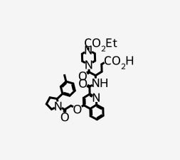 CCOC(=O)N1CCN(C(=O)C(CCC(=O)O)NC(=O)c2cc(OCC(=O)N3CCCC3c3cccc(C)c3)c3ccccc3n2)CC1